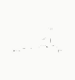 CCCCCCCCCCCCCCc1cc(CS)cc(CC(C)C)c1